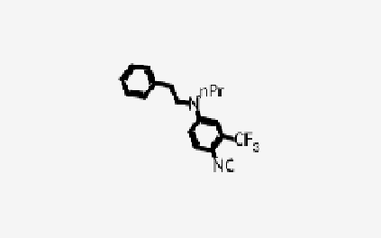 [C-]#[N+]c1ccc(N(CCC)CCc2ccccc2)cc1C(F)(F)F